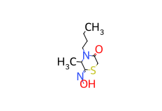 CCCCN1C(=O)CSC(=NO)C1C